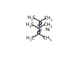 CCCCCCC(=N\c1ccc(CCCCC)c(CCCCC)c1)/C(CCCCC)=N/c1ccc(CCCCC)c(CCCCC)c1.[Ni]